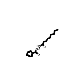 CCCCCCCCC(=O)NOOC(=O)c1ccccc1